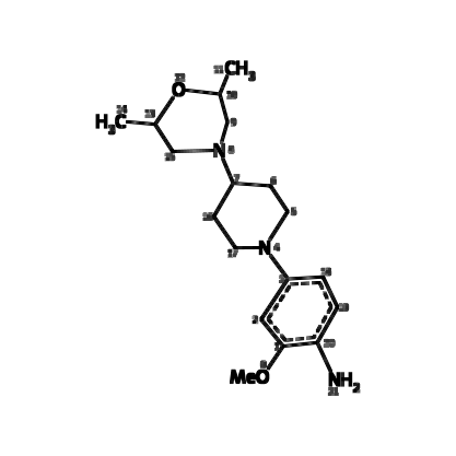 COc1cc(N2CCC(N3CC(C)OC(C)C3)CC2)ccc1N